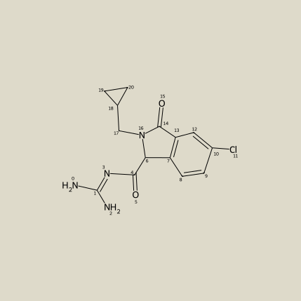 NC(N)=NC(=O)C1c2ccc(Cl)cc2C(=O)N1CC1CC1